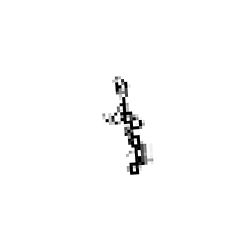 N#Cc1cc2c(Oc3ccc(NC(=O)Nc4ccccc4)cc3)ccnc2cc1OCCCN1CCOCC1